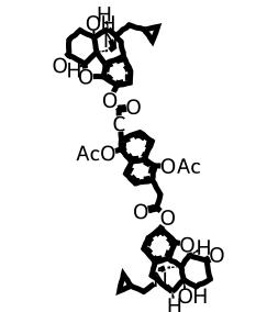 CC(=O)Oc1c(CC(=O)Oc2ccc3c4c2O[C@H]2C(=O)CC[C@@]5(O)[C@@H](C3)N(CC3CC3)CC[C@]425)ccc2c(OC(C)=O)c(CC(=O)Oc3ccc4c5c3O[C@H]3C(=O)CC[C@@]6(O)[C@@H](C4)N(CC4CC4)CC[C@]536)ccc12